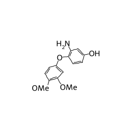 COc1ccc(Oc2ccc(O)cc2N)cc1OC